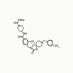 COC(=O)N1CCC(NC(=O)c2ccc(CN3CC4(CCN(Cc5ccc(C(F)(F)F)cc5)CC4)OC3=O)c(C(F)(F)F)c2)CC1